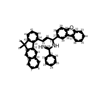 CC1(C)c2cc3ccccc3cc2-c2c(/C=C/C(NC(=N)c3ccccc3)c3ccc4oc5ccccc5c4c3)cccc21